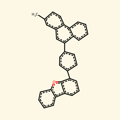 Cc1ccc2c(c1)cc(-c1ccc(-c3cccc4c3oc3ccccc34)cc1)c1ccccc12